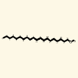 CCCCCCCCCCCCCCCCCCC[CH]OC